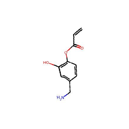 C=CC(=O)Oc1ccc(CN)cc1O